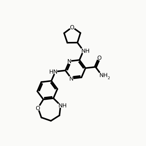 NC(=O)c1cnc(Nc2ccc3c(c2)NCCCO3)nc1NC1CCOC1